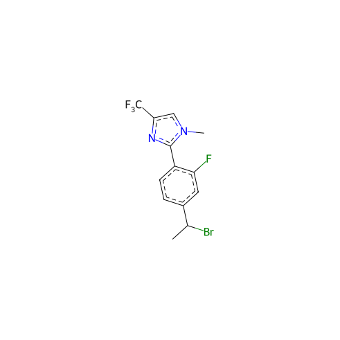 CC(Br)c1ccc(-c2nc(C(F)(F)F)cn2C)c(F)c1